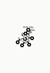 CC(=O)O[C@@H]1[C@H](OC(C)=O)[C@@H](OC(C)=O)C=C2c3cc4c(c(O[C@H]5O[C@H](COC(=O)c6ccccc6)[C@@H](OC(=O)c6ccccc6)[C@H](OC(=O)c6ccccc6)[C@H]5OC(=O)c5ccccc5)c3C(=O)N[C@H]21)OCO4